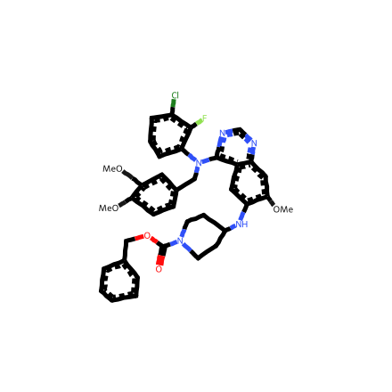 COc1cc2ncnc(N(Cc3ccc(OC)c(OC)c3)c3cccc(Cl)c3F)c2cc1NC1CCN(C(=O)OCc2ccccc2)CC1